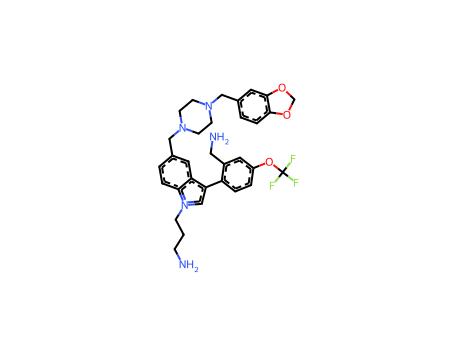 NCCCn1cc(-c2ccc(OC(F)(F)F)cc2CN)c2cc(CN3CCN(Cc4ccc5c(c4)OCO5)CC3)ccc21